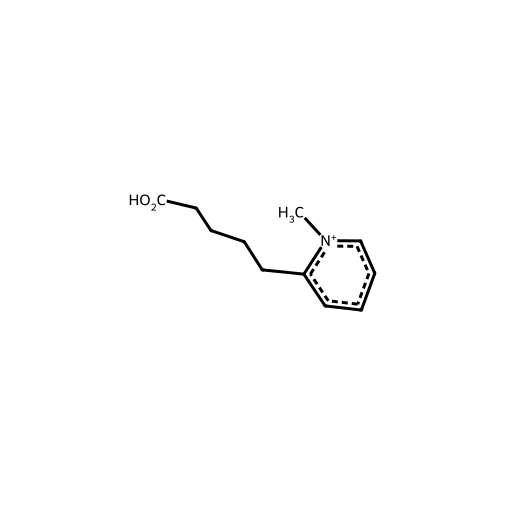 C[n+]1ccccc1CCCCC(=O)O